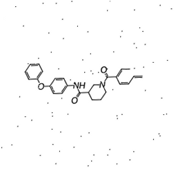 C=C/C=C\C(=C/C)C(=O)N1CCCC(C(=O)Nc2ccc(Oc3ccccc3)cc2)C1